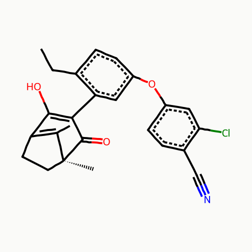 CCc1ccc(Oc2ccc(C#N)c(Cl)c2)cc1C1=C(O)C2=C(C)[C@](C)(CC2)C1=O